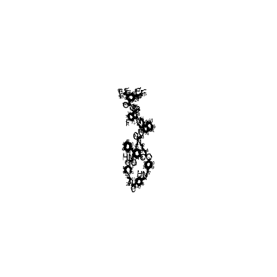 CN(CCCC(=O)Oc1ccc(CNCc2ccc(C(=O)N(C)CCN3CCC(OC(=O)Nc4ccccc4-c4ccccc4)CC3)cc2)cc1)C(=O)CO[C@H]1Cc2ccccc2C12CCN(CC[C@]1(c3ccc(F)cc3)CN(C(=O)c3cc(C(F)(F)F)cc(C(F)(F)F)c3)CO1)CC2